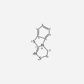 c1ccc2c(c1)SC1=NSCCN12